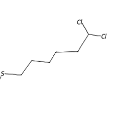 [CH2]CSCCCCCC(Cl)Cl